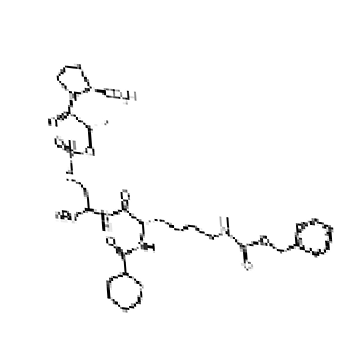 CCCCC(CO[PH](=O)O[C@@H](C)C(=O)N1CCC[C@H]1C(=O)O)NC(=O)[C@H](CCCCNC(=O)OCc1ccccc1)NC(=O)C1CCCCC1